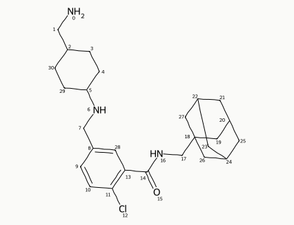 NCC1CCC(NCc2ccc(Cl)c(C(=O)NCC34CC5CC(CC(C5)C3)C4)c2)CC1